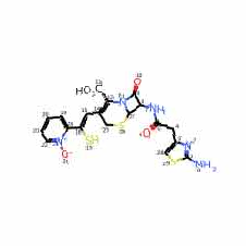 Nc1nc(CC(=O)NC2C(=O)N3C(C(=O)O)=C(C=C(S)c4cccc[n+]4[O-])CSC23)cs1